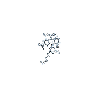 COCCOC(=O)OC1=C(C)Nc2ccnc(OC(C)C)c2C1c1cccc([N+](=O)[O-])c1